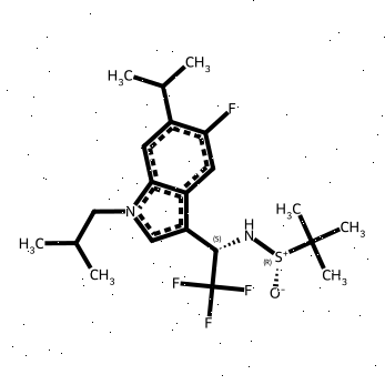 CC(C)Cn1cc([C@H](N[S@@+]([O-])C(C)(C)C)C(F)(F)F)c2cc(F)c(C(C)C)cc21